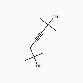 CC(C)(O)C#CCC(C)(C)O